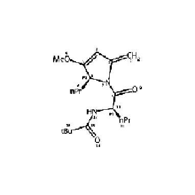 C=C1C=C(OC)[C@H](CCC)N1C(=O)[C@@H](CCC)NC(=O)C(C)(C)C